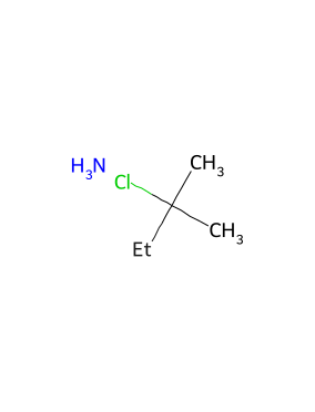 CCC(C)(C)Cl.N